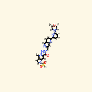 Cc1nc(C(=O)NCc2cc3nc(-c4cccc(N5C[C@@H](C)O[C@@H](C)C5)n4)ccc3cn2)cc2c1CCN2S(C)(=O)=O